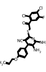 C=CCOc1ccc(-c2c(N)c(N)nc(SCC(=O)c3cc(F)c(Cl)cc3Cl)c2C#N)cc1